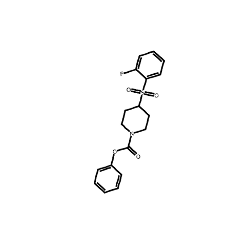 O=C(Oc1ccccc1)N1CCC(S(=O)(=O)c2ccccc2F)CC1